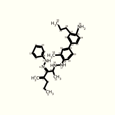 C=C(CCC)/C(=N/Nc1ccccc1)C(C)NNc1ccc(-c2ccc(N)c(CCC)c2)cc1C